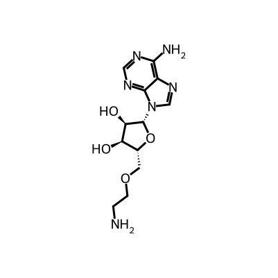 NCCOC[C@H]1O[C@@H](n2cnc3c(N)ncnc32)[C@H](O)[C@@H]1O